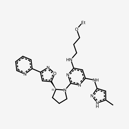 CCOCCCNc1cc(Nc2cc(C)[nH]n2)nc(N2CCC[C@H]2c2cc(-c3ccccn3)no2)n1